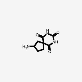 NC1CCC2(C1)C(=O)NC(=O)NC2=O